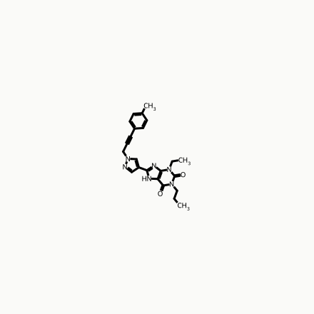 CCCn1c(=O)c2[nH]c(-c3cnn(CC#Cc4ccc(C)cc4)c3)nc2n(CC)c1=O